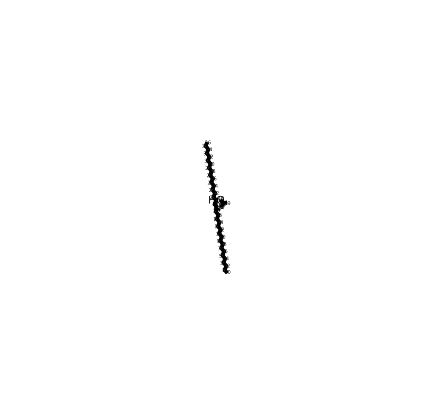 CCCCCCCCCCCCCCCCCCN(CCCCCCCCCCCCCCCCCC)CC(C)O